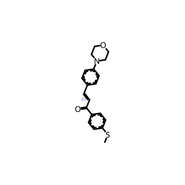 CSc1ccc(C(=O)/C=C/c2ccc(N3CCOCC3)cc2)cc1